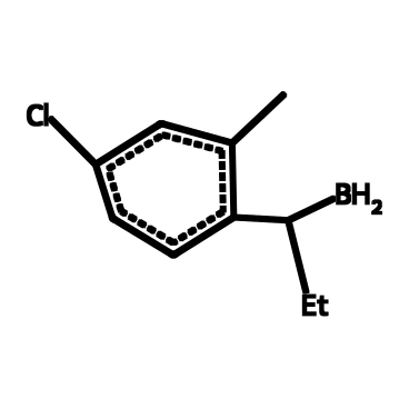 BC(CC)c1ccc(Cl)cc1C